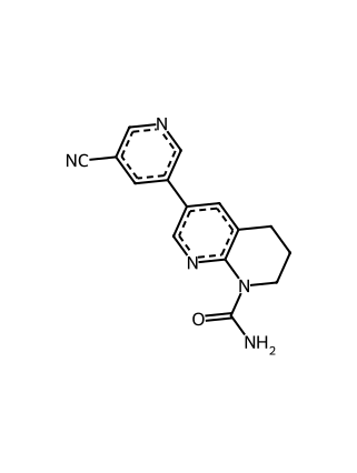 N#Cc1cncc(-c2cnc3c(c2)CCCN3C(N)=O)c1